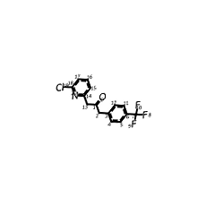 O=C(Cc1ccc(C(F)(F)F)cc1)Cc1cccc(Cl)n1